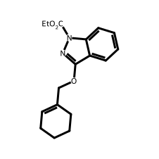 CCOC(=O)n1nc(OCC2=CCCCC2)c2ccccc21